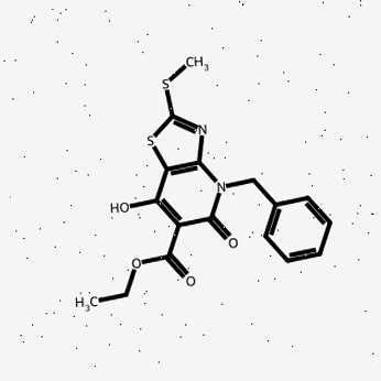 CCOC(=O)c1c(O)c2sc(SC)nc2n(Cc2ccccc2)c1=O